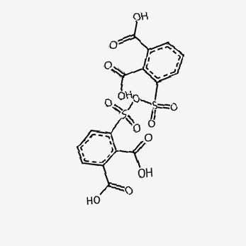 O=C(O)c1cccc(S(=O)(=O)OS(=O)(=O)c2cccc(C(=O)O)c2C(=O)O)c1C(=O)O